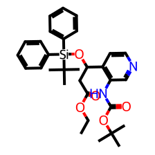 CCOC(=O)CC(O[Si](c1ccccc1)(c1ccccc1)C(C)(C)C)c1ccncc1NC(=O)OC(C)(C)C